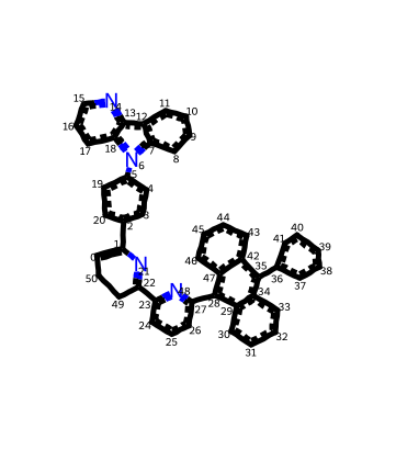 C1=C(c2ccc(-n3c4ccccc4c4ncccc43)cc2)N=C(c2cccc(-c3c4ccccc4c(-c4ccccc4)c4ccccc34)n2)CC1